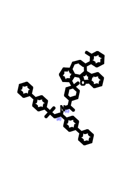 C/C(=N\C(=C/C(C)(C)c1ccc(-c2ccccc2)cc1)c1ccc(-c2ccccc2)cc1)C1=CCC(C)(c2cccc3c2-c2oc4ccccc4c2C(c2ccccc2C)=CC3)C=C1